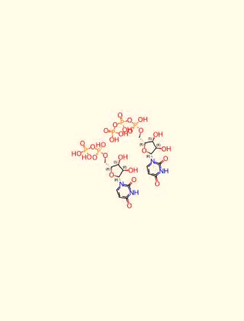 O=c1ccn([C@@H]2O[C@H](COP(=O)(O)OP(=O)(O)O)[C@@H](O)[C@H]2O)c(=O)[nH]1.O=c1ccn([C@@H]2O[C@H](COP(=O)(O)OP(=O)(O)OP(=O)(O)O)[C@@H](O)[C@H]2O)c(=O)[nH]1